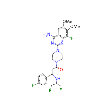 COc1cc2c(N)nc(N3CCN(C(=O)CC(NC(CF)CF)c4ccc(F)cc4)CC3)nc2c(F)c1OC